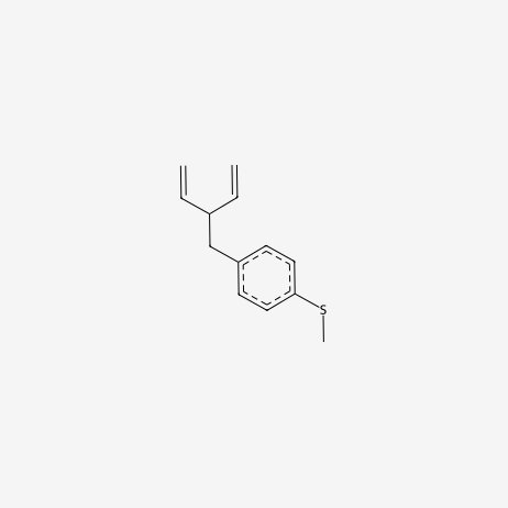 C=CC(C=C)Cc1ccc(SC)cc1